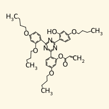 C=CC(=O)Oc1cc(OCCCC)ccc1-c1nc(-c2ccc(OCCCC)cc2O)nc(-c2ccc(OCCCC)cc2OCCCC)n1